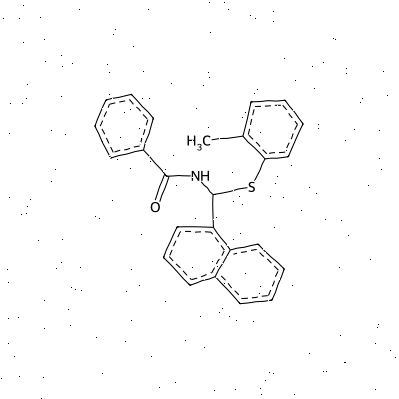 Cc1ccccc1SC(NC(=O)c1ccccc1)c1cccc2ccccc12